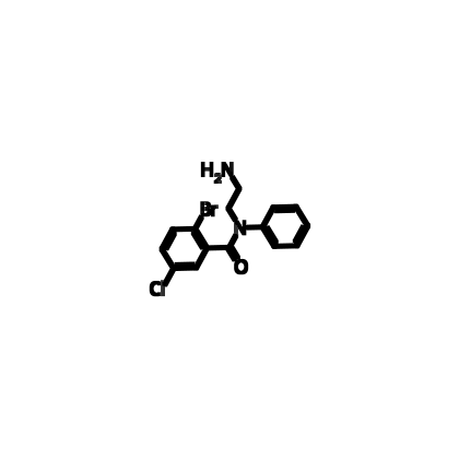 NCCN(C(=O)c1cc(Cl)ccc1Br)c1ccccc1